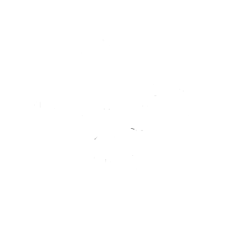 O=C(OC[C@H]1O[C@@H](c2ccc(Cl)c(Cc3cc4ccccc4s3)c2)[C@H](OC(=O)c2ccccc2)[C@@H](OC(=O)c2ccccc2)[C@@H]1O)c1ccccc1